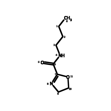 CCCCNC(=O)C1=NCCO1